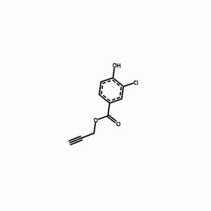 C#CCOC(=O)c1ccc(O)c(Cl)c1